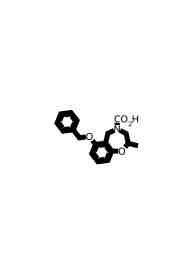 CC1CN(C(=O)O)Cc2c(OCc3ccccc3)cccc2O1